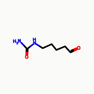 NC(=O)NCCCCC=O